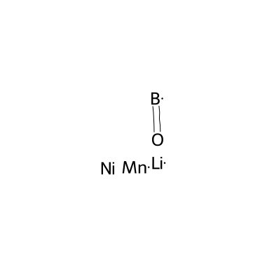 [B]=O.[Li].[Mn].[Ni]